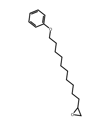 c1ccc(OCCCCCCCCCCC2CO2)cc1